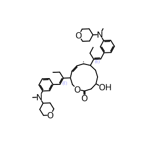 CC/C(=C\c1cccc(N(C)C2CCOCC2)c1)C1[CH]C=CC(/C(=C/c2cccc(N(C)C3CCOCC3)c2)CC)COC(=O)CC(O)CC1